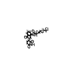 O=C1CCC(N2Cc3c(NC(=O)COCCOCCCl)cccc3C2=O)C(=O)N1